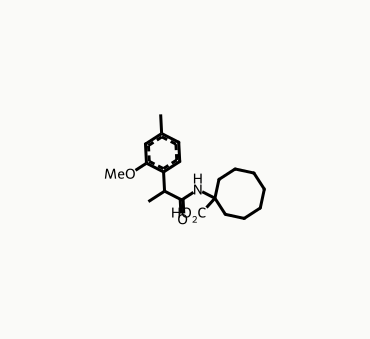 COc1cc(C)ccc1C(C)C(=O)NC1(C(=O)O)CCCCCCC1